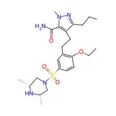 CCCc1nn(C)c(C(N)=O)c1CCc1cc(S(=O)(=O)N2C[C@@H](C)N[C@@H](C)C2)ccc1OCC